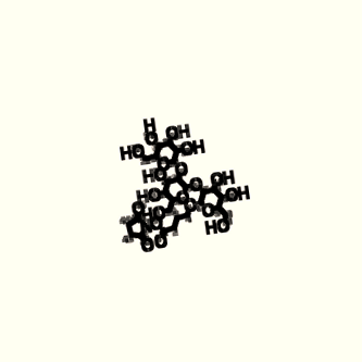 O=C(CCCO[C@H]1OC(CO)[C@@H](O)C(O)C1O[C@H]1OC(CO)[C@@H](O)C(O)C1O[C@@H]1OC(CO)[C@@H](O)C(O)C1O)ON1C(=O)CCC1=O